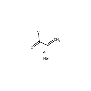 C=C[C](=O)[V].[Nb].[V]